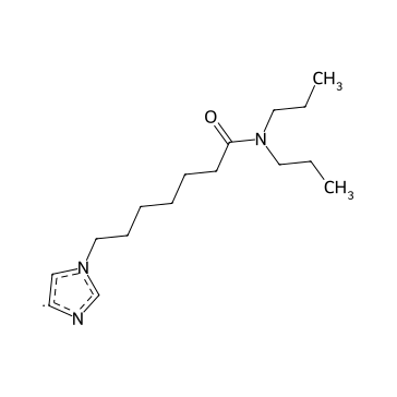 CCCN(CCC)C(=O)CCCCCCn1c[c]nc1